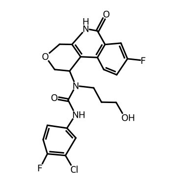 O=C(Nc1ccc(F)c(Cl)c1)N(CCCO)C1COCc2[nH]c(=O)c3cc(F)ccc3c21